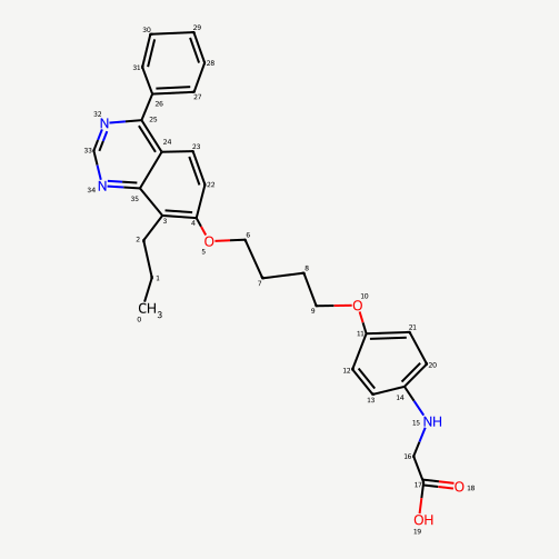 CCCc1c(OCCCCOc2ccc(NCC(=O)O)cc2)ccc2c(-c3ccccc3)ncnc12